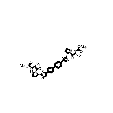 COC(=O)N[C@@H](C(=O)N1CCC[C@H]1c1ncc(-c2ccc(-c3ccc(-c4cnc([C@@H]5CCCN5C(=O)[C@H](NC(=O)OC)C(C)C)s4)cc3)cc2)s1)C(C)C